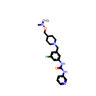 CN(C=O)OCC1CCN(Cc2cc(F)cc(NC(=O)Nc3cccnc3)c2)CC1